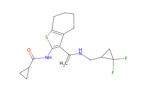 C=C(NCC1CC1(F)F)c1c(NC(=O)C2CC2)sc2c1CCCC2